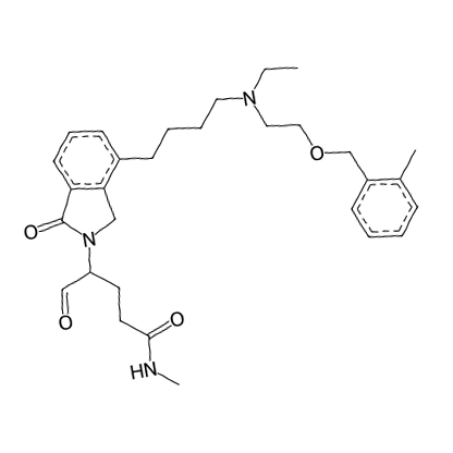 CCN(CCCCc1cccc2c1CN(C(C=O)CCC(=O)NC)C2=O)CCOCc1ccccc1C